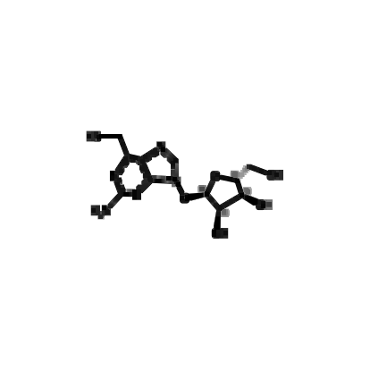 Nc1nc(CS)c2ncn(O[C@H]3O[C@H](CO)[C@@H](O)[C@H]3O)c2n1